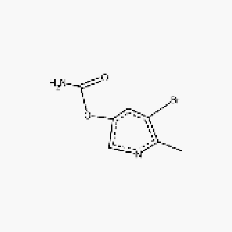 Cc1ncc(OC(N)=O)cc1Br